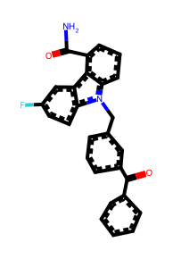 NC(=O)c1cccc2c1c1[c]c(F)ccc1n2Cc1cccc(C(=O)c2ccccc2)c1